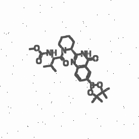 COC(=O)N[C@H](C(=O)N1CCCC[C@H]1c1nc2ccc(B3OC(C)(C)C(C)(C)O3)cc2c(=O)[nH]1)C(C)C